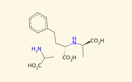 CC(N)C(=O)O.C[C@@H](N[C@@H](CCc1ccccc1)C(=O)O)C(=O)O